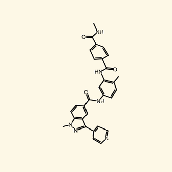 CNC(=O)c1ccc(C(=O)Nc2cc(NC(=O)c3ccc4c(c3)c(-c3ccncc3)nn4C)ccc2C)cc1